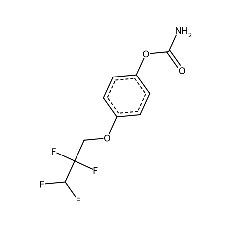 NC(=O)Oc1ccc(OCC(F)(F)C(F)F)cc1